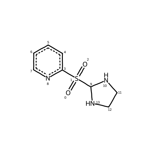 O=S(=O)(c1ccccn1)C1NCCN1